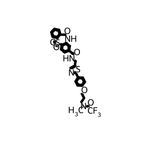 CN(CCCOc1ccc(-c2ncc(CNC(=O)c3ccc4c(c3)NC(=O)c3ccccc3S4(=O)=O)s2)cc1)C(=O)C(F)(F)F